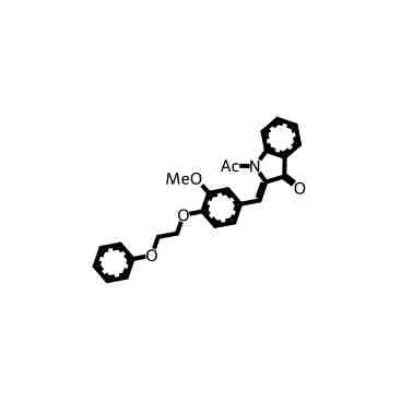 COc1cc(C=C2C(=O)c3ccccc3N2C(C)=O)ccc1OCCOc1ccccc1